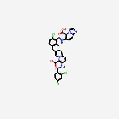 Cc1c(CC2=CN3C(=CC2)C=CC(NCc2ccc(Cl)cc2Cl)=C3C(=O)O)ccc(Cl)c1CNc1ccc2nccn2c1C(=O)O